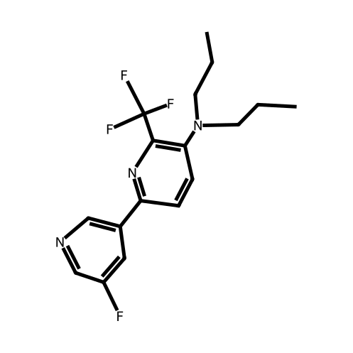 CCCN(CCC)c1ccc(-c2cncc(F)c2)nc1C(F)(F)F